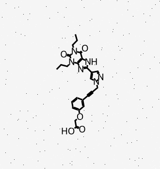 CCCn1c(=O)c2[nH]c(-c3cnn(CC#Cc4cccc(OCC(=O)O)c4)c3)nc2n(CCC)c1=O